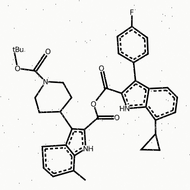 Cc1cccc2c(C3CCN(C(=O)OC(C)(C)C)CC3)c(C(=O)OC(=O)c3[nH]c4c(C5CC5)cccc4c3-c3ccc(F)cc3)[nH]c12